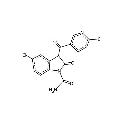 NC(=O)N1C(=O)C(C(=O)c2ccc(Cl)nc2)c2cc(Cl)ccc21